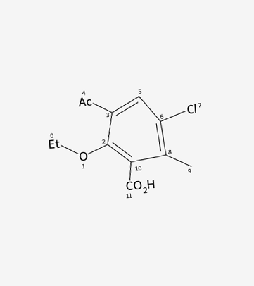 CCOc1c(C(C)=O)cc(Cl)c(C)c1C(=O)O